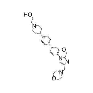 OCCN1CCC(c2ccc(-c3ccc4c(c3)OCc3nc(CN5CCOCC5)cn3-4)cc2)CC1